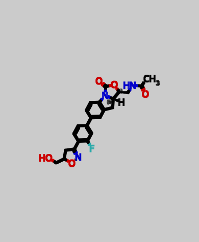 CC(=O)NC[C@@H]1OC(=O)N2c3ccc(-c4ccc(C5=NOC(CO)C5)c(F)c4)cc3C[C@@H]12